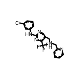 FC(F)(F)c1nc(Nc2cccc(Cl)c2)ncc1CNCc1ccccn1